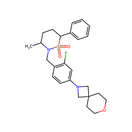 CC1CCC(c2ccccc2)S(=O)(=O)N1Cc1ccc(N2CC3(CCOCC3)C2)cc1F